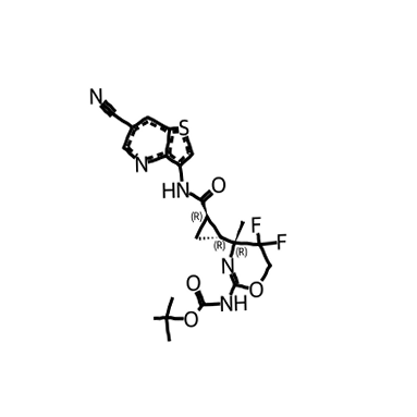 CC(C)(C)OC(=O)NC1=N[C@](C)([C@@H]2C[C@H]2C(=O)Nc2csc3cc(C#N)cnc23)C(F)(F)CO1